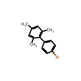 Cc1cc(C)c(-c2ccc(Br)cc2)c(C)c1